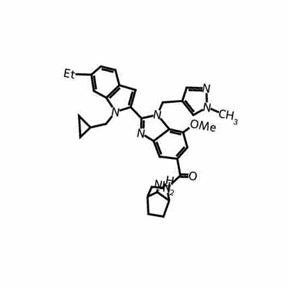 CCc1ccc2cc(-c3nc4cc(C(=O)N5CC6CCC5[C@@H]6N)cc(OC)c4n3Cc3cnn(C)c3)n(CC3CC3)c2c1